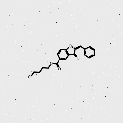 O=C(OCCCCCl)c1ccc2c(c1)C(=O)/C(=C\c1ccccc1)O2